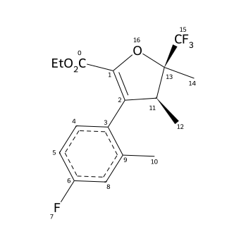 CCOC(=O)C1=C(c2ccc(F)cc2C)[C@H](C)[C@](C)(C(F)(F)F)O1